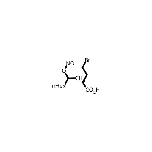 CCCCCCC(C)ON=O.O=C(O)CCCBr